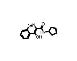 O=C(NC1CCCC1)c1nnc2ccccc2c1O